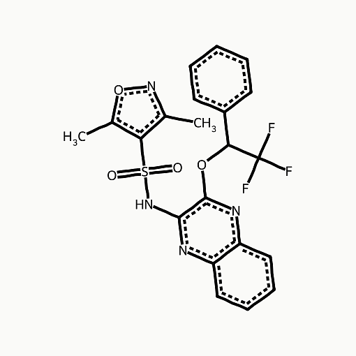 Cc1noc(C)c1S(=O)(=O)Nc1nc2ccccc2nc1OC(c1ccccc1)C(F)(F)F